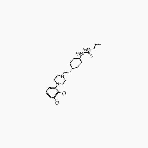 CCCNC(=S)N[C@H]1CC[C@H](CCN2CCN(c3cccc(Cl)c3Cl)CC2)CC1